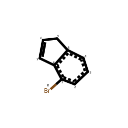 Brc1cccc2c1C=CC2